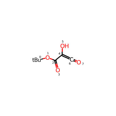 CC(C)(C)OC(=O)C(O)=C=O